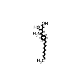 CCCCCCCCCCc1ccc(C(N)CC(CO)CCO)cc1